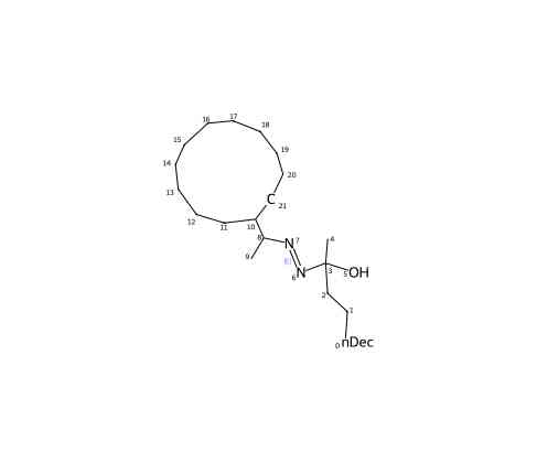 CCCCCCCCCCCCC(C)(O)/N=N/C(C)C1CCCCCCCCCCC1